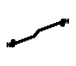 O=C(O)CCCCCCCCCCCCCC#CC#CCCCCCCCCCCCCCCCC(=O)O